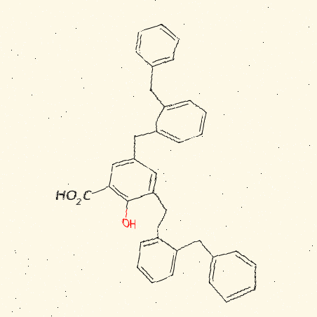 O=C(O)c1cc(Cc2ccccc2Cc2ccccc2)cc(Cc2ccccc2Cc2ccccc2)c1O